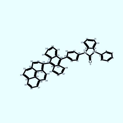 O=c1n(-c2ccccc2)c2ccccc2n1-c1ccc(-c2c3ccccc3c(-c3ccc4ccc5cccc6ccc3c4c56)c3ccccc23)cc1